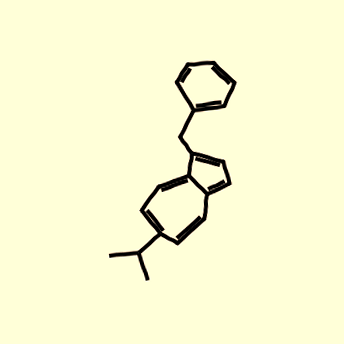 CC(C)c1ccc2ccc(Cc3ccccc3)c-2cc1